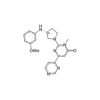 COc1cccc(N[C@@H]2CCN(c3nc(-c4ccncn4)cc(=O)n3C)C2)c1